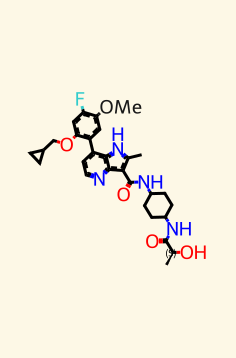 COc1cc(-c2ccnc3c(C(=O)NC4CCC(NC(=O)[C@H](C)O)CC4)c(C)[nH]c23)c(OCC2CC2)cc1F